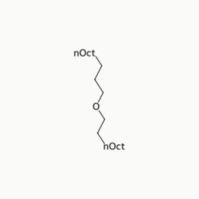 [CH2]CCCCCCCCCOCCCCCCCCCCC